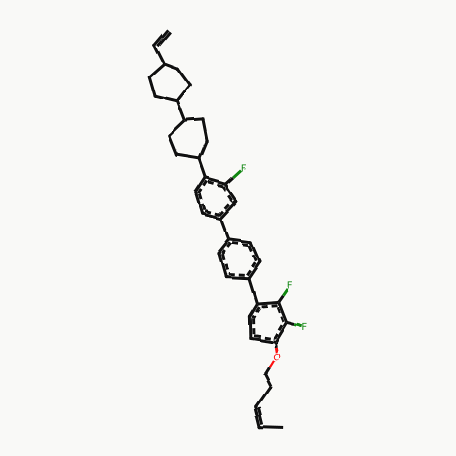 C=CC1CCC(C2CCC(c3ccc(-c4ccc(-c5ccc(OCC/C=C\C)c(F)c5F)cc4)cc3F)CC2)CC1